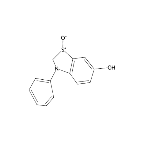 [O-][S+]1CN(c2ccccc2)c2ccc(O)cc21